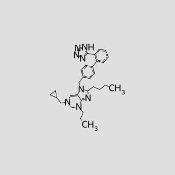 CCCCC1N=C2C(=CN(CC3CC3)CN2CCC)N1Cc1ccc(-c2ccccc2-c2nnn[nH]2)cc1